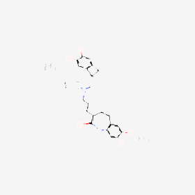 COc1cc2c(cc1OC)NC(=O)C(CCCN(C)C[C@H]1Cc3cc(OC)c(OC)cc31)CC2